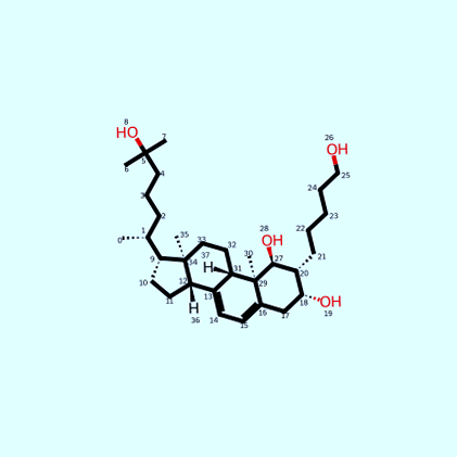 C[C@H](CCCC(C)(C)O)[C@H]1CC[C@H]2C3=CC=C4C[C@@H](O)[C@@H](CCCCCO)[C@H](O)[C@]4(C)[C@H]3CC[C@]12C